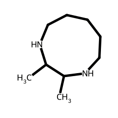 CC1NCCCCCNC1C